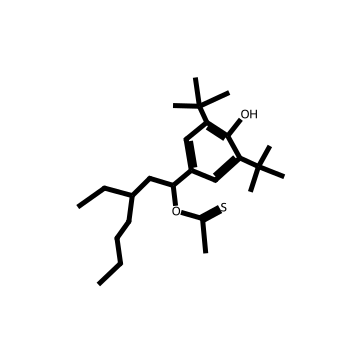 CCCCC(CC)CC(OC(C)=S)c1cc(C(C)(C)C)c(O)c(C(C)(C)C)c1